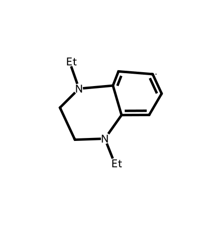 CCN1CCN(CC)c2cc[c]cc21